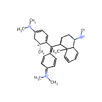 CCNC1CCC(C(C2=CC=C(N(C)C)C[C@H]2C)=C2C=CC(=[N+](C)C)C=C2)C2(C)C=CC=CC12